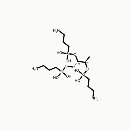 C[C@@H](O[Si](O)(O)CCCN)[C@H](CO[Si](O)(O)CCCN)O[Si](O)(O)CCCN